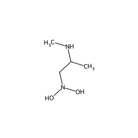 CNC(C)CN(O)O